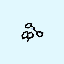 C(=C\c1ccccc1)/c1ccccc1.Cc1cccc2ccccc12